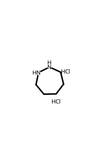 C1CCNNCC1.Cl.Cl